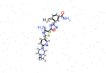 Cc1ccc(C(N)=O)cc1-c1noc(-c2sc(-c3ccc(N4CCN(C)CC4)nc3)nc2N)n1